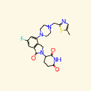 Cc1cnc(CN2CCN(c3cc(F)cc4c3CN(C3CCC(=O)NC3=O)C4=O)CC2)s1